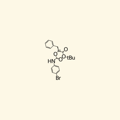 CC(C)(C)OC(=O)[C@H](Cc1ccccc1)OC(=O)Nc1ccc(Br)cc1